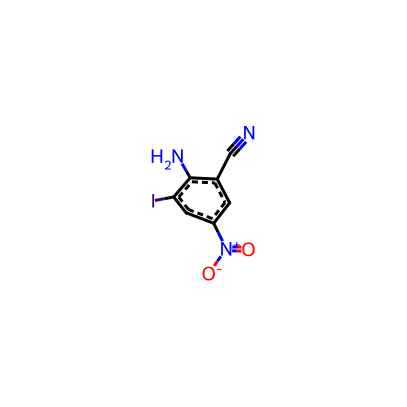 N#Cc1cc([N+](=O)[O-])cc(I)c1N